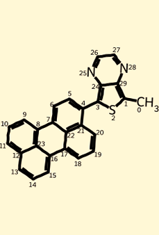 Cc1sc(-c2ccc3c4cccc5cccc(c6cccc2c63)c54)c2nccnc12